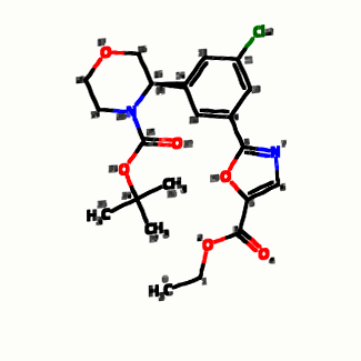 CCOC(=O)c1cnc(-c2cc(Cl)cc([C@@H]3COCCN3C(=O)OC(C)(C)C)c2)o1